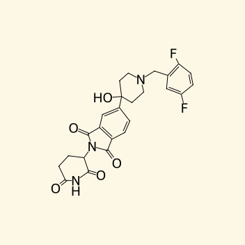 O=C1CCC(N2C(=O)c3ccc(C4(O)CCN(Cc5cc(F)ccc5F)CC4)cc3C2=O)C(=O)N1